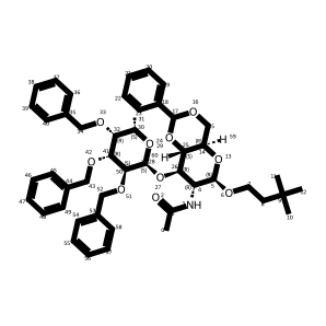 CC(=O)N[C@H]1[C@H](OCCC(C)(C)C)O[C@@H]2COC(c3ccccc3)O[C@H]2[C@@H]1O[C@@H]1O[C@@H](C)[C@@H](OCc2ccccc2)[C@@H](OCc2ccccc2)[C@@H]1OCc1ccccc1